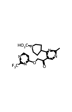 Cc1ncc(C(=O)COc2ccnc(C(F)(F)F)n2)c(C2CCN(C(=O)O)CC2)n1